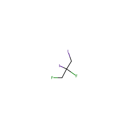 FCC(F)(I)CI